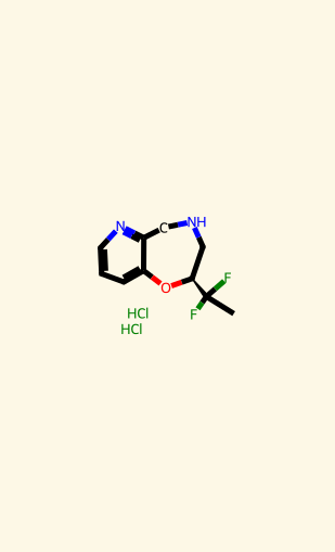 CC(F)(F)[C@@H]1CNCc2ncccc2O1.Cl.Cl